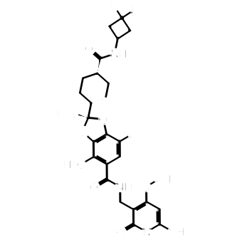 CSc1cc(C)[nH]c(=O)c1CNC(=O)c1cc(Cl)c2c(c1C)O[C@](C)([C@H]1CC[C@H](C(=O)NC3CC(F)(F)C3)CC1)O2